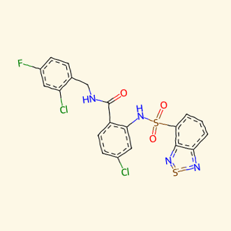 O=C(NCc1ccc(F)cc1Cl)c1ccc(Cl)cc1NS(=O)(=O)c1cccc2nsnc12